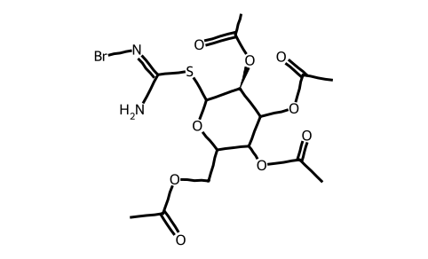 CC(=O)OCC1OC(S/C(N)=N/Br)[C@@H](OC(C)=O)C(OC(C)=O)C1OC(C)=O